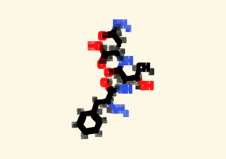 C[C@@H](O)[C@H](NC(=O)[C@@H](N)Cc1ccccc1)C(=O)N[C@@H](CC(N)=O)C(=O)O